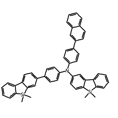 C[Si]1(C)c2ccccc2-c2cc(N(c3ccc(-c4ccc5c(c4)[Si](C)(C)c4ccccc4-5)cc3)c3ccc(-c4ccc5ccccc5c4)cc3)ccc21